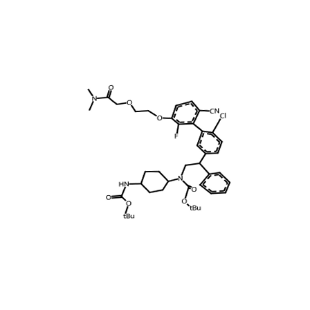 CN(C)C(=O)COCCOc1ccc(C#N)c(-c2cc(C(CN(C(=O)OC(C)(C)C)C3CCC(NC(=O)OC(C)(C)C)CC3)c3ccccc3)ccc2Cl)c1F